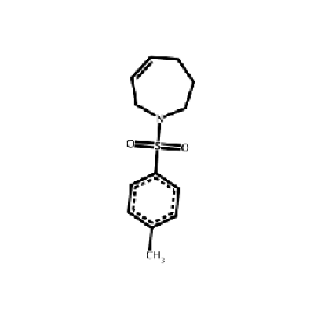 Cc1ccc(S(=O)(=O)N2CC=CCCC2)cc1